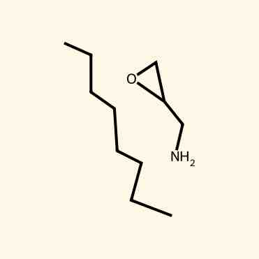 CCCCCCCC.NCC1CO1